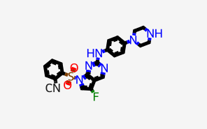 N#Cc1ccccc1S(=O)(=O)n1cc(F)c2cnc(Nc3ccc(N4CCNCC4)cc3)nc21